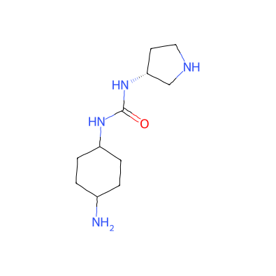 NC1CCC(NC(=O)N[C@@H]2CCNC2)CC1